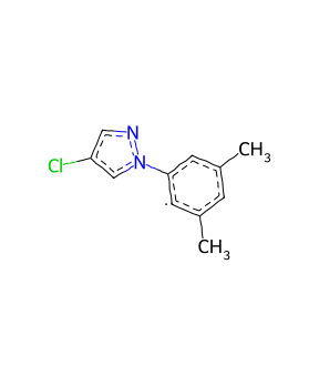 Cc1[c]c(-n2cc(Cl)cn2)cc(C)c1